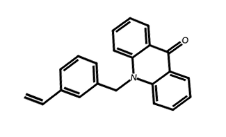 C=Cc1cccc(Cn2c3ccccc3c(=O)c3ccccc32)c1